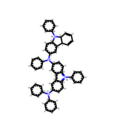 C1=CC2c3cc(N(c4ccccc4)c4ccc5c(c4)c4cc(N(c6ccccc6)c6ccccc6)ccc4n5-c4ccccc4)ccc3N(c3ccccc3)C2C=C1